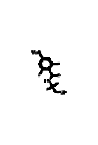 COc1cc(F)c(C(=O)NC(C)(C)CO)c(F)c1